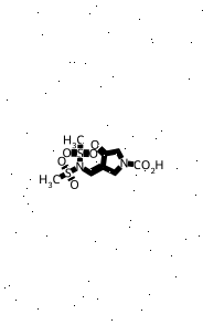 CS(=O)(=O)N(/C=C1/CN(C(=O)O)CC1=O)S(C)(=O)=O